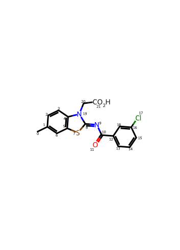 Cc1ccc2c(c1)sc(=NC(=O)c1cccc(Cl)c1)n2CC(=O)O